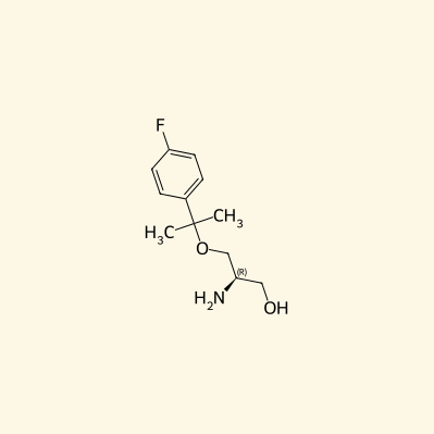 CC(C)(OC[C@H](N)CO)c1ccc(F)cc1